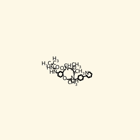 CO[C@H]1CN(C)C(=O)c2cc(NC(=O)NC(C)C)ccc2OC[C@](C)(O)N(Cc2ccc(-c3ccccn3)cc2)C[C@@H]1C